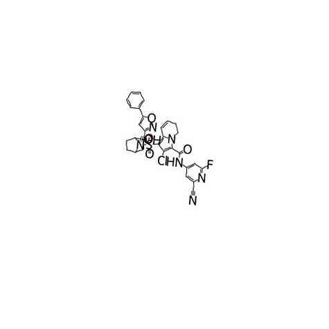 N#Cc1cc(NC(=O)c2c(Cl)c(S(=O)(=O)N3C4CCC3[C@@](O)(c3cc(-c5ccccc5)on3)C4)c3n2CCC=C3)cc(F)n1